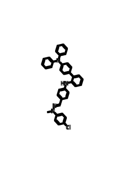 CN(/N=C/c1ccc(Nc2ccccc2-c2ccc(N(c3ccccc3)c3ccccc3)cc2)cc1)c1ccc(Cl)cc1